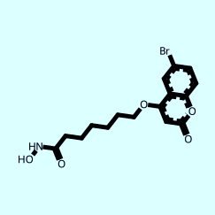 O=C(CCCCCCOc1cc(=O)oc2ccc(Br)cc12)NO